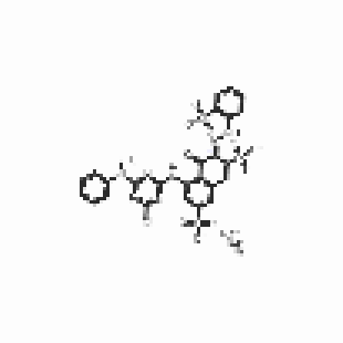 CN(c1ccccc1)c1nc(Cl)nc(Nc2cc(S(=O)(=O)[O-])cc3c2C(=O)/C(=N/Nc2ccccc2S(=O)(=O)[O-])C(S(=O)(=O)[O-])=C3)n1.[Na+].[Na+].[Na+]